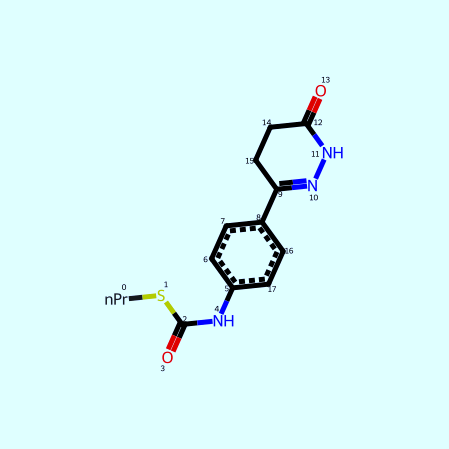 CCCSC(=O)Nc1ccc(C2=NNC(=O)CC2)cc1